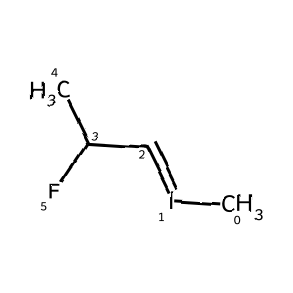 CI=CC(C)F